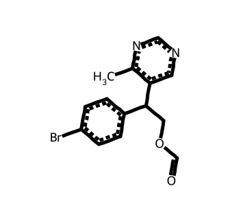 Cc1ncncc1C(COC=O)c1ccc(Br)cc1